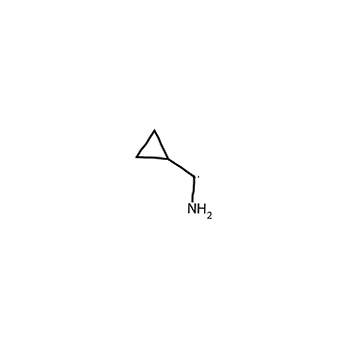 N[CH]C1CC1